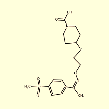 CC(=NOCCOC1CCN(C(=O)O)CC1)c1ccc(S(C)(=O)=O)cc1